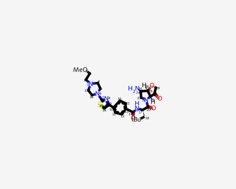 COCCN1CCN(c2nc(-c3ccc(C(=O)N[C@@H](CC(C)(C)C)C(=O)N4C[C@@H](N)[C@H]5OCC(=O)[C@H]54)cc3)cs2)CC1